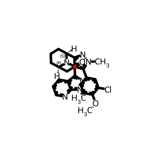 COc1ccc(-c2c3c(nn2C)[C@@H]2CCC[C@H](C3)N2C(=O)c2nn(C)c3ncccc23)cc1Cl